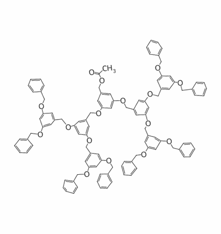 CC(=O)OCc1cc(OCc2cc(OCc3cc(OCc4ccccc4)cc(OCc4ccccc4)c3)cc(OCc3cc(OCc4ccccc4)cc(OCc4ccccc4)c3)c2)cc(OCc2cc(OCc3cc(OCc4ccccc4)cc(OCc4ccccc4)c3)cc(OCc3cc(OCc4ccccc4)cc(OCc4ccccc4)c3)c2)c1